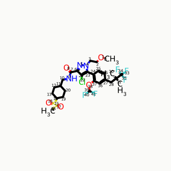 COCCn1nc(C(=O)NCC2CCC(S(C)(=O)=O)CC2)c(Cl)c1-c1ccc(CC(C)(C)C(F)(F)F)cc1OC(F)F